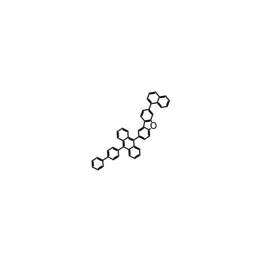 c1ccc(-c2ccc(-c3c4ccccc4c(-c4ccc5oc6cc(-c7cccc8ccccc78)ccc6c5c4)c4ccccc34)cc2)cc1